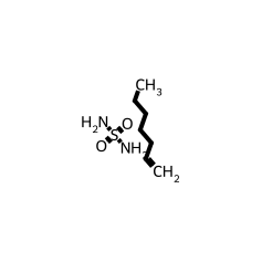 C=CCCCCC.NS(N)(=O)=O